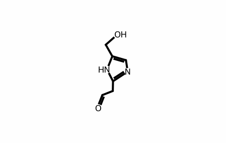 O=CCc1ncc(CO)[nH]1